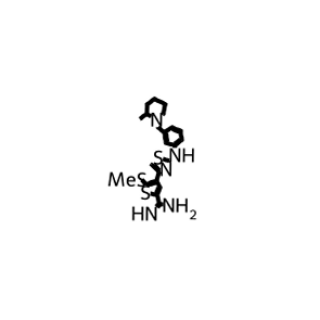 CSc1sc(C(=N)N)cc1-c1csc(Nc2cccc(CN3CCCCC3C)c2)n1